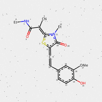 CCNC(=O)/C(C#N)=c1\sc(=C=Cc2ccc(O)c(OC)c2)c(=O)n1CC